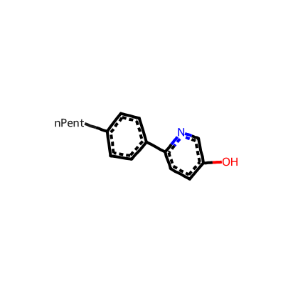 CCCCCc1ccc(-c2ccc(O)cn2)cc1